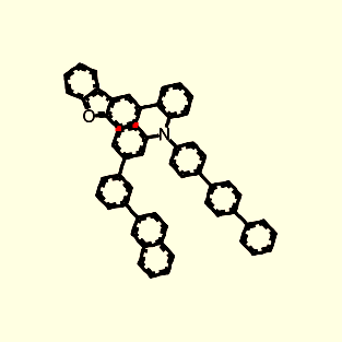 c1ccc(-c2ccc(-c3ccc(N(c4cccc(-c5cccc(-c6ccc7ccccc7c6)c5)c4)c4ccccc4-c4ccc5oc6ccccc6c5c4)cc3)cc2)cc1